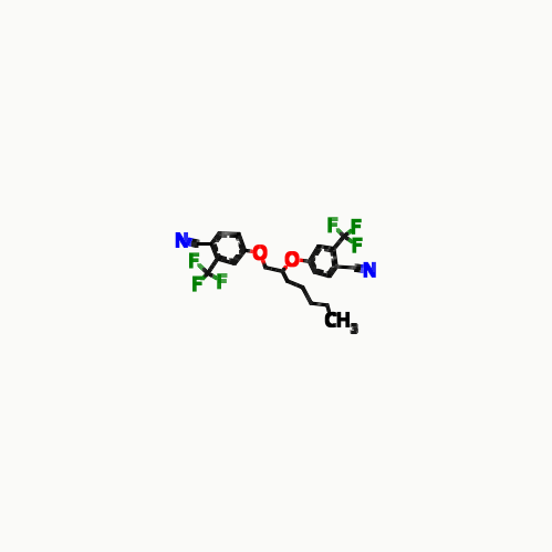 CCCCCC(COc1ccc(C#N)c(C(F)(F)F)c1)Oc1ccc(C#N)c(C(F)(F)F)c1